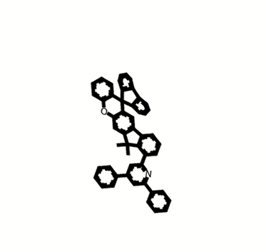 CC1(C)c2cc3c(cc2-c2cccc(-c4cc(-c5ccccc5)cc(-c5ccccc5)n4)c21)C1(c2ccccc2O3)c2ccccc2-c2ccccc21